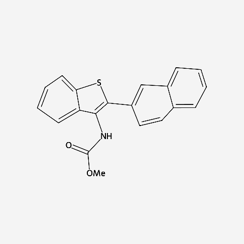 COC(=O)Nc1c(-c2ccc3ccccc3c2)sc2ccccc12